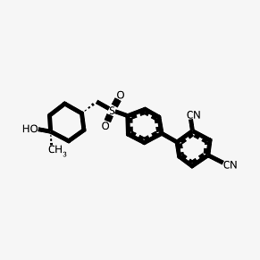 C[C@]1(O)CC[C@H](CS(=O)(=O)c2ccc(-c3ccc(C#N)cc3C#N)cc2)CC1